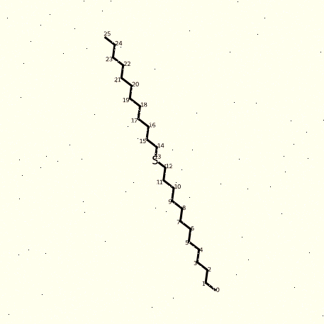 CCCCCCCCCCCC[CH]SCCCCCCCCCCCC